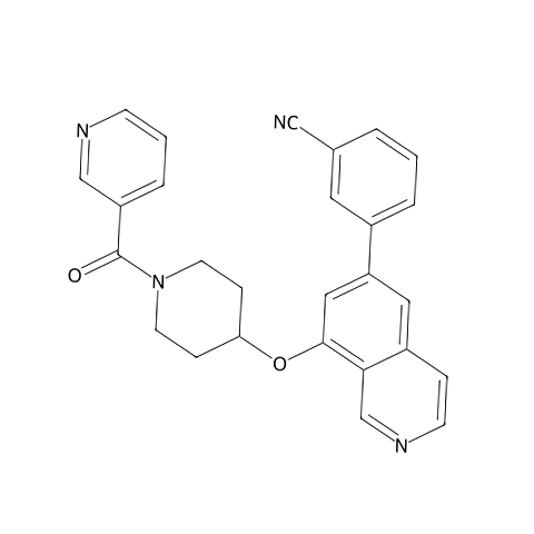 N#Cc1cccc(-c2cc(OC3CCN(C(=O)c4cccnc4)CC3)c3cnccc3c2)c1